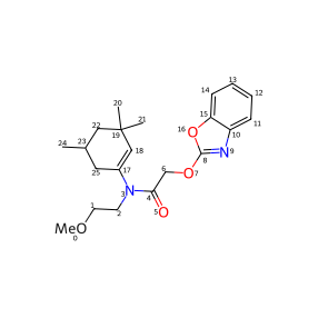 COCCN(C(=O)COc1nc2ccccc2o1)C1=CC(C)(C)CC(C)C1